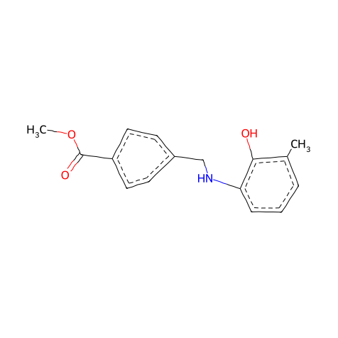 COC(=O)c1ccc(CNc2cccc(C)c2O)cc1